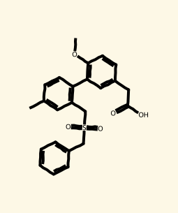 COc1ccc(CC(=O)O)cc1-c1ccc(C)cc1CS(=O)(=O)Cc1ccccc1